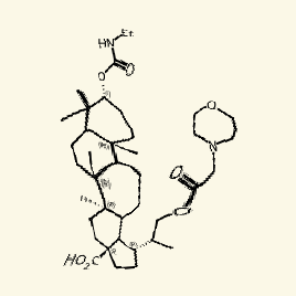 CCNC(=O)O[C@@H]1CC[C@@]2(C)C(CC[C@]3(C)C2CCC2C4[C@H](C(C)COC(=O)CN5CCOCC5)CC[C@]4(C(=O)O)CC[C@]23C)C1(C)C